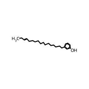 CC/C=C/CCCCCCCCCCCCCc1cccc(O)c1